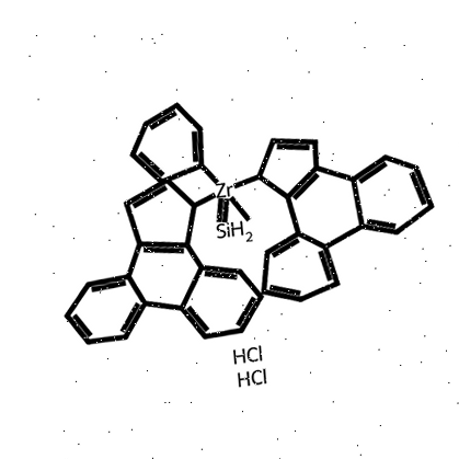 Cl.Cl.[CH3][Zr](=[SiH2])([c]1ccccc1)([CH]1C=Cc2c1c1ccccc1c1ccccc21)[CH]1C=Cc2c1c1ccccc1c1ccccc21